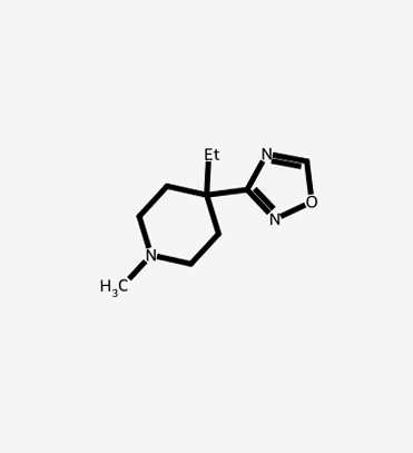 CCC1(c2ncon2)CCN(C)CC1